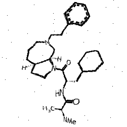 CN[C@@H](C)C(=O)N[C@@H](CC1CCCCC1)C(=O)N1CC[C@H]2CCCN(CCc3ccccc3)C[C@H]21